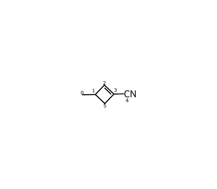 CC1C=C(C#N)C1